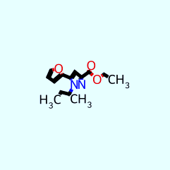 CCOC(=O)c1cc(-c2ccco2)n(C(C)CC)n1